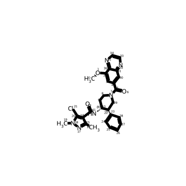 COc1cc(C(=O)N2CC[C@@H](NC(=O)c3c(C)nn(C)c3Cl)[C@@H](c3ccccc3)C2)cc2nccnc12